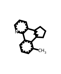 Cc1cccc2c1C13CCCC1(CCC3)c1cccnc1-2